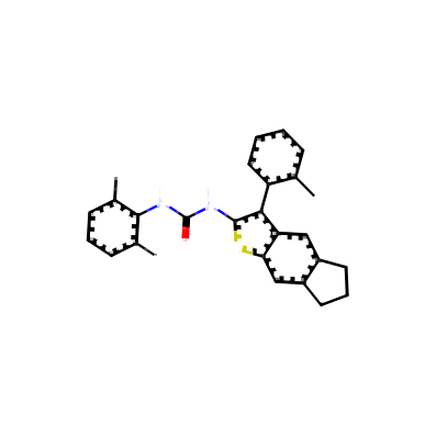 CCc1cccc(CC)c1NC(=O)Nc1sc2cc3c(cc2c1-c1ccccc1C)CCC3